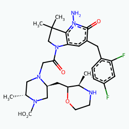 C[C@@H]1CN(CC(=O)N2CC(C)(C)c3c2cc(Cc2ccc(F)cc2F)c(=O)n3N)[C@@H](CC2OCCN[C@@H]2C)CN1C(=O)O